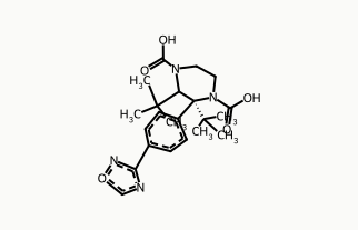 CC(C)(C)C1N(C(=O)O)CCN(C(=O)O)[C@]1(c1ccc(-c2ncon2)cc1)C(C)(C)C